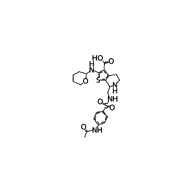 CC(=O)Nc1ccc(S(=O)(=O)NCC2NCCc3c2sc(NC2CCCCO2)c3C(=O)O)cc1